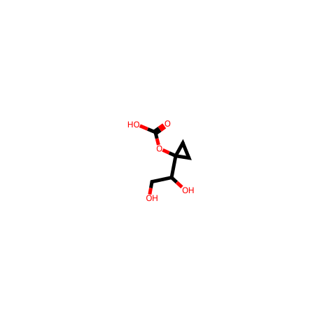 O=C(O)OC1(C(O)CO)CC1